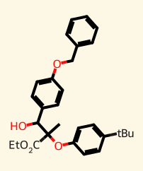 CCOC(=O)C(C)(Oc1ccc(C(C)(C)C)cc1)C(O)c1ccc(OCc2ccccc2)cc1